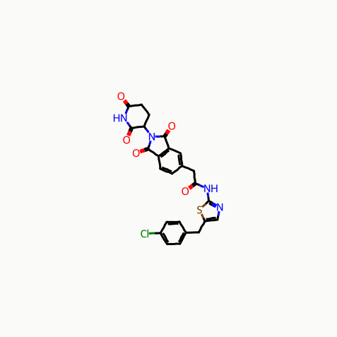 O=C1CCC(N2C(=O)c3ccc(CC(=O)Nc4ncc(Cc5ccc(Cl)cc5)s4)cc3C2=O)C(=O)N1